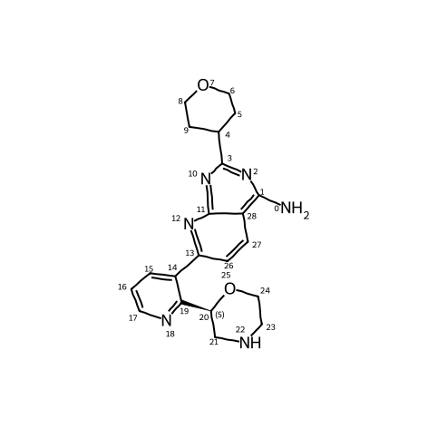 Nc1nc(C2CCOCC2)nc2nc(-c3cccnc3[C@@H]3CNCCO3)ccc12